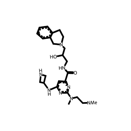 CNCCN(C)c1nc(NC2CNC2)cc(C(=O)NCC(O)CN2CCc3ccccc3C2)n1